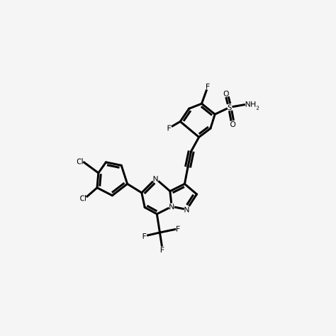 NS(=O)(=O)c1cc(C#Cc2cnn3c(C(F)(F)F)cc(-c4ccc(Cl)c(Cl)c4)nc23)c(F)cc1F